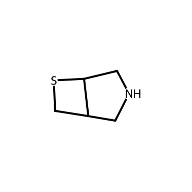 C1NCC2SCC12